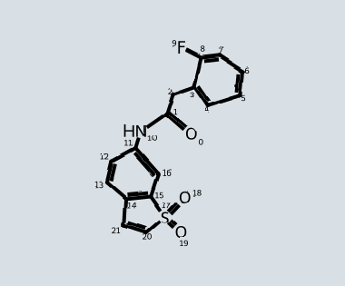 O=C(Cc1ccccc1F)Nc1ccc2c(c1)S(=O)(=O)C=C2